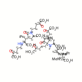 CC(C)C[C@@H](C(=O)O)N(C)C(CCCC(=O)C(=O)O)(CCCC(=O)C(=O)O)C(=O)C(=O)O.CC(C)C[C@H](NCCCC(=O)C(=O)O)C(=O)O.CN[C@@H](C)C(=O)O.CN[C@@H](CC(C)C)C(=O)O.O=C(O)C(=O)CCCN1C(=O)CC[C@H]1C(=O)O